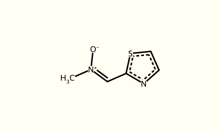 C[N+]([O-])=Cc1nccs1